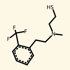 CN(CCS)CCc1ccccc1C(F)(F)F